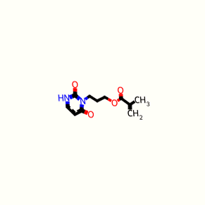 C=C(C)C(=O)OCCCn1c(=O)cc[nH]c1=O